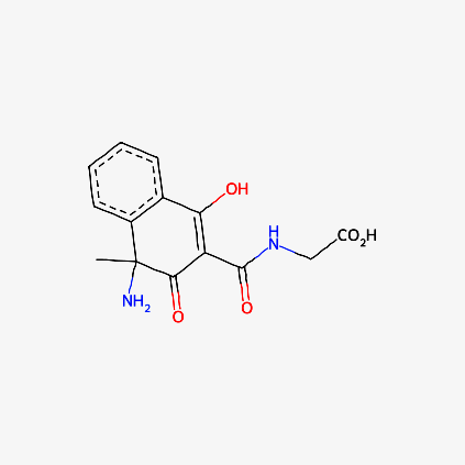 CC1(N)C(=O)C(C(=O)NCC(=O)O)=C(O)c2ccccc21